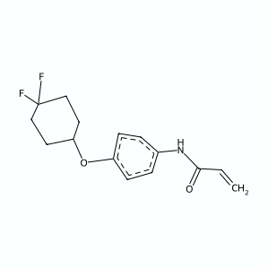 C=CC(=O)Nc1ccc(OC2CCC(F)(F)CC2)cc1